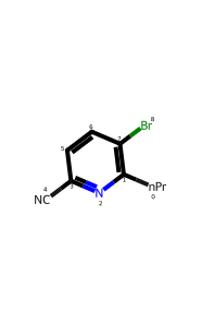 CCCc1nc(C#N)ccc1Br